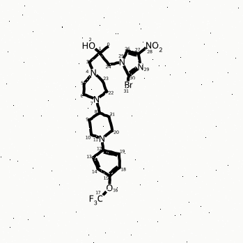 CC(O)(CN1CCN(C2CCN(c3ccc(OC(F)(F)F)cc3)CC2)CC1)Cn1cc([N+](=O)[O-])nc1Br